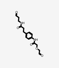 O=CCCNC(=O)CCc1ccc(NC(=O)COCC=O)cc1